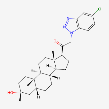 C[C@@]1(O)CC[C@@]2(C)[C@H](CC[C@@H]3[C@@H]2CC[C@]2(C)[C@@H](C(=O)Cn4nnc5cc(Cl)ccc54)CC[C@@H]32)C1